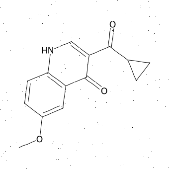 COc1ccc2[nH]cc(C(=O)C3CC3)c(=O)c2c1